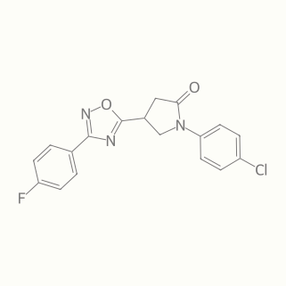 O=C1CC(c2nc(-c3ccc(F)cc3)no2)CN1c1ccc(Cl)cc1